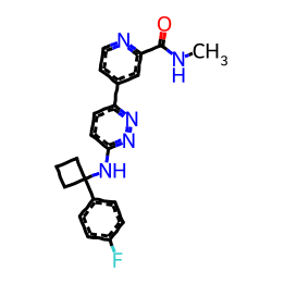 CNC(=O)c1cc(-c2ccc(NC3(c4ccc(F)cc4)CCC3)nn2)ccn1